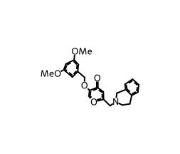 COc1cc(COc2coc(CN3CCc4ccccc4C3)cc2=O)cc(OC)c1